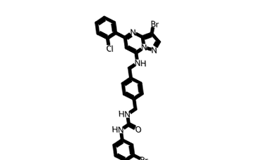 O=C(NCc1ccc(CNc2cc(-c3ccccc3Cl)nc3c(Br)cnn23)cc1)Nc1cccc(Br)c1